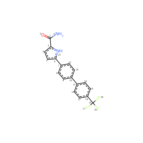 NC(=O)c1ccc(-c2ccc(-c3ccc(C(F)(F)F)cc3)cc2)[nH]1